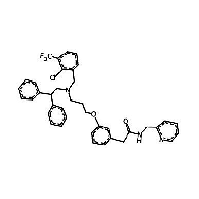 O=C(Cc1cccc(OCCCN(Cc2cccc(C(F)(F)F)c2Cl)CC(c2ccccc2)c2ccccc2)c1)NCc1ccccn1